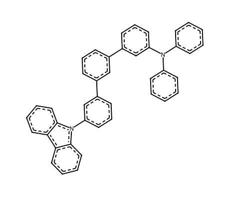 c1ccc(N(c2ccccc2)c2cccc(-c3cccc(-c4cccc(-n5c6ccccc6c6ccccc65)c4)c3)c2)cc1